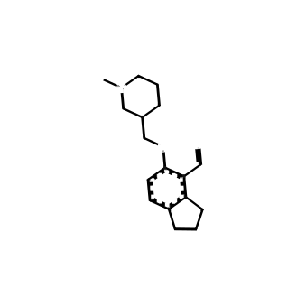 CN1CCCC(COc2ccc3c(c2C=O)CCC3)C1